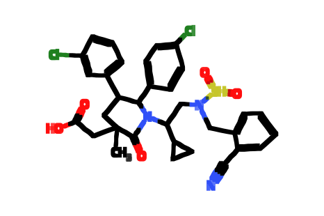 CC1(CC(=O)O)CC(c2cccc(Cl)c2)C(c2ccc(Cl)cc2)N(C(CN(Cc2ccccc2C#N)[SH](=O)=O)C2CC2)C1=O